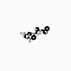 N#C/N=C(/Nc1cccc(NC(=O)c2sccc2NCc2ccnc3ccccc23)c1)N1CCC[C@H]1C(N)=O